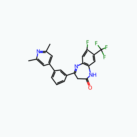 Cc1cc(-c2cccc(C3=Nc4cc(F)c(C(F)(F)F)cc4NC(=O)C3)c2)cc(C)n1